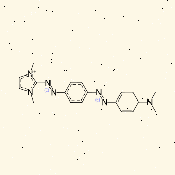 CN(C)C1C=CC(/N=N/c2ccc(/N=N/c3n(C)cc[n+]3C)cc2)=CC1